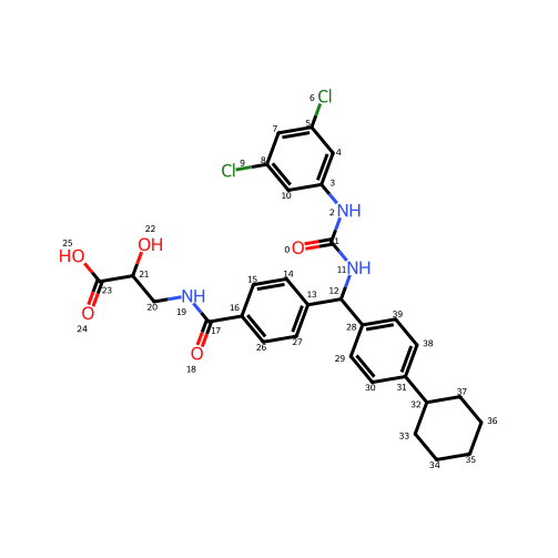 O=C(Nc1cc(Cl)cc(Cl)c1)NC(c1ccc(C(=O)NCC(O)C(=O)O)cc1)c1ccc(C2CCCCC2)cc1